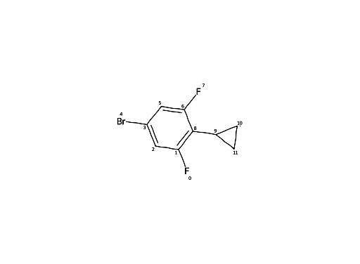 Fc1cc(Br)cc(F)c1C1[CH]C1